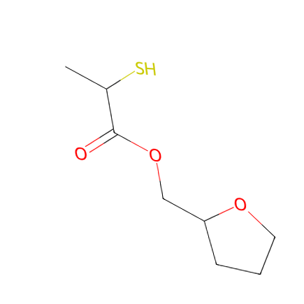 CC(S)C(=O)OCC1CCCO1